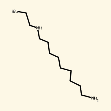 CCC(C)CCNCCCCCCCCCN